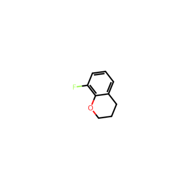 Fc1cccc2c1OCCC2